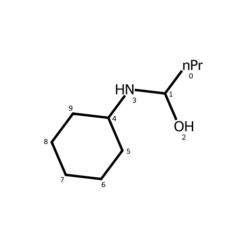 CCCC(O)NC1CCCCC1